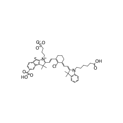 CC1(C)C(/C=C/C2=C(Cl)C(=C/C=C3/N(CCCCCC(=O)O)c4ccccc4C3(C)C)/CCC2)=[N+](CCCS(=O)(=O)[O-])c2sc3ccc(S(=O)(=O)O)cc3c21